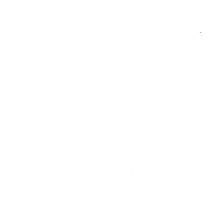 COCOc1cc(OCOC)cc(C(=O)/C=C/c2ccc(Br)cc2)c1